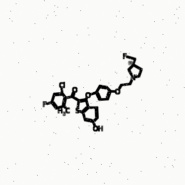 Cc1cc(F)cc(Cl)c1C(=O)c1sc2cc(O)ccc2c1Oc1ccc(OCCN2CC[C@H](CF)C2)cc1